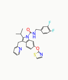 CC(C)c1c(Cc2ccccn2)c2ccc(Oc3nccs3)cc2n1C(=O)NCc1ccc(F)c(F)c1